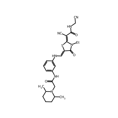 CCn1c(=C(C#N)C(=O)NCC#N)sc(=CNc2cccc(NC(=O)CN3C(C)CCCC3C)c2)c1=O